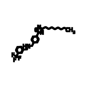 CCCCCCCCc1noc(-c2ccc(CNCc3cccc(C(F)(F)F)c3)cc2)n1